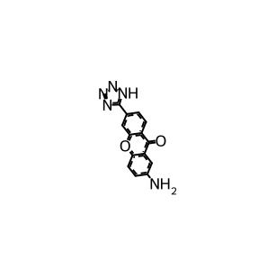 Nc1ccc2oc3cc(-c4nnn[nH]4)ccc3c(=O)c2c1